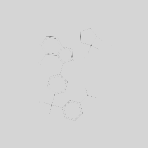 CC(O)(c1ccc(-c2nc([C@@H]3CC[C@](C)(C(=O)O)C3(C)C)n3ccnc(N)c23)cc1)c1cccc(C(F)F)c1